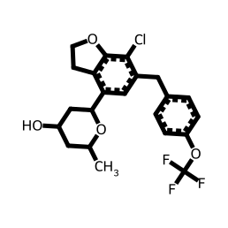 CC1CC(O)CC(c2cc(Cc3ccc(OC(F)(F)F)cc3)c(Cl)c3c2CCO3)O1